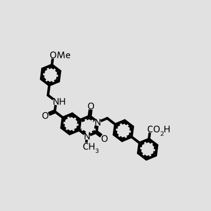 COc1ccc(CNC(=O)c2ccc3c(c2)c(=O)n(Cc2ccc(-c4ccccc4C(=O)O)cc2)c(=O)n3C)cc1